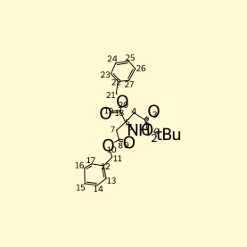 CC(C)(C)OC(=O)CC(N)(CC(=O)OCc1ccccc1)C(=O)OCc1ccccc1